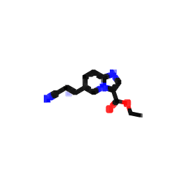 CCOC(=O)c1cnc2ccc(/C=C/C#N)cn12